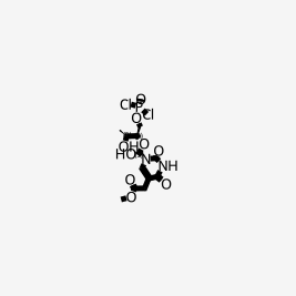 COC(=O)Cc1cn([C@@H](O)O[C@H](COP(=O)(Cl)Cl)[C@@H](C)O)c(=O)[nH]c1=O